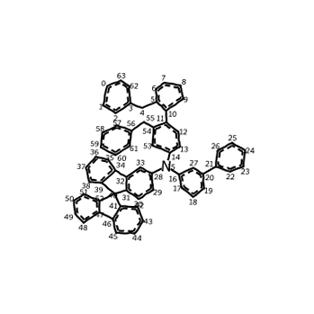 c1ccc(Cc2ccccc2-c2ccc(N(c3cccc(-c4ccccc4)c3)c3ccc4c(c3)-c3ccccc3C43c4ccccc4-c4ccccc43)cc2Cc2ccccc2)cc1